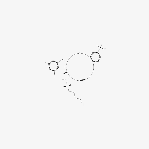 CCCCCS(=O)(=O)N(C)[C@H]1C/C=C\CCCc2ccc(C(F)(F)F)cc2CNC[C@@H](O)[C@H](Cc2cc(F)cc(F)c2)NC1=O